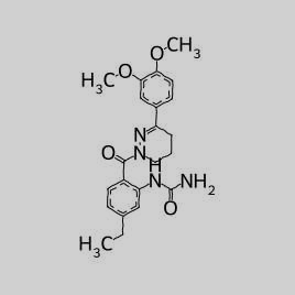 CCc1ccc(C(=O)N2CCCC(c3ccc(OC)c(OC)c3)=N2)c(NC(N)=O)c1